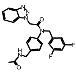 CC(=O)NCc1ccc(N(Cc2cc(F)cc(F)c2)C(=O)Cn2nnc3ccccc32)cc1